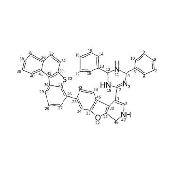 C1=C(C2=NC(c3ccccc3)NC(c3ccccc3)N2)c2c(oc3cc(-c4cccc5c4sc4ccc6ccccc6c45)ccc23)CN1